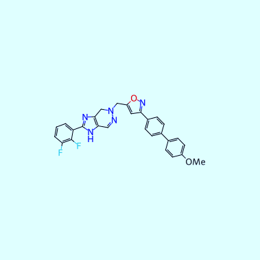 COc1ccc(-c2ccc(-c3cc(CN4Cc5nc(-c6cccc(F)c6F)[nH]c5C=N4)on3)cc2)cc1